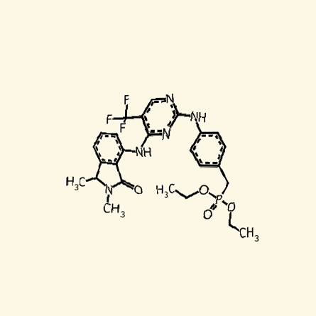 CCOP(=O)(Cc1ccc(Nc2ncc(C(F)(F)F)c(Nc3cccc4c3C(=O)N(C)C4C)n2)cc1)OCC